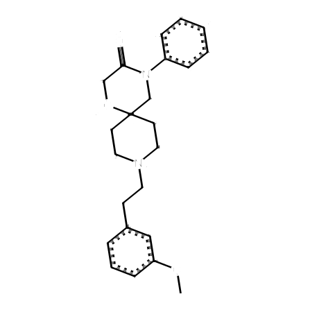 COc1cccc(CCN2CCC3(CC2)CN(c2ccccc2)C(=O)CO3)c1